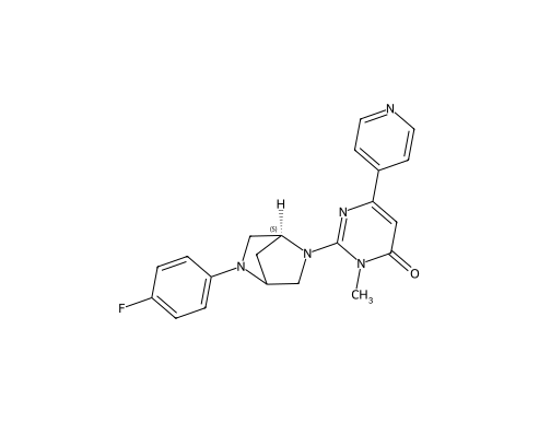 Cn1c(N2CC3C[C@H]2CN3c2ccc(F)cc2)nc(-c2ccncc2)cc1=O